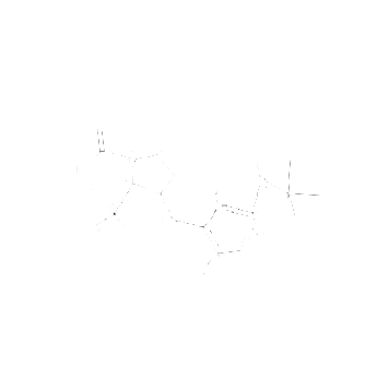 CC(C)(C)Nc1ncc(N)c(NC2CCN(C(=O)O)C2C(C)(C)C)n1